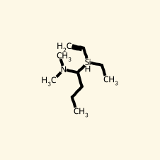 C=C[SiH](CC)C(CCC)N(C)C